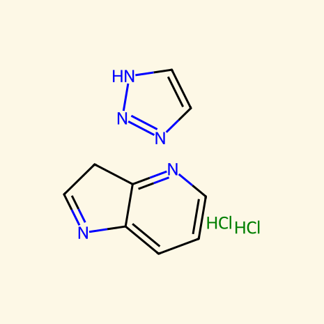 C1=Nc2cccnc2C1.Cl.Cl.c1c[nH]nn1